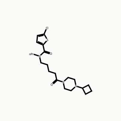 CCCN(CCCCC(=O)N1CCN(C2CCC2)CC1)C(=O)c1ccc(Cl)s1